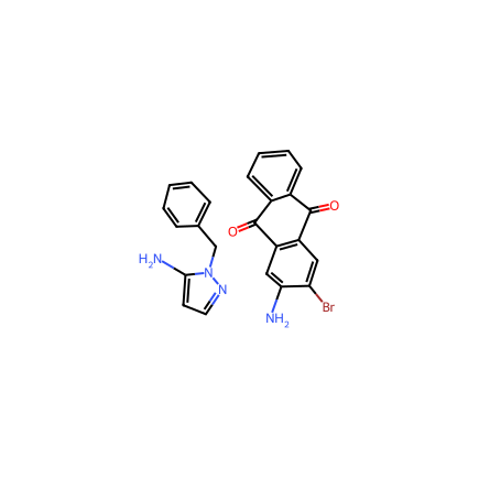 Nc1cc2c(cc1Br)C(=O)c1ccccc1C2=O.Nc1ccnn1Cc1ccccc1